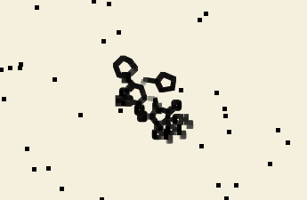 CN1C(=O)N(C[C@H](C(=O)O)[C@@H](CC2CCCC2)C(=O)N2CCCCC2)C(=O)C1(C)C